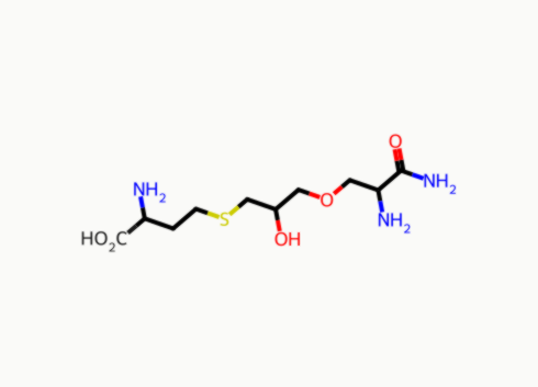 NC(=O)C(N)COCC(O)CSCCC(N)C(=O)O